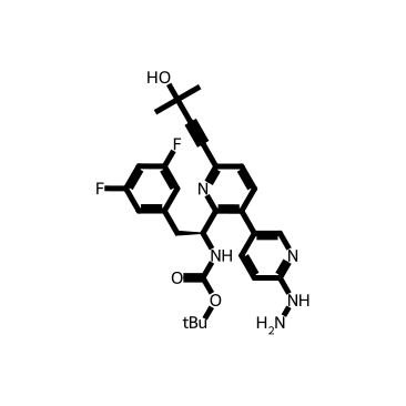 CC(C)(O)C#Cc1ccc(-c2ccc(NN)nc2)c([C@H](Cc2cc(F)cc(F)c2)NC(=O)OC(C)(C)C)n1